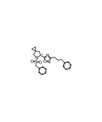 O=S(=O)(Cc1ccccc1)N1CC2(CC2)C[C@H]1c1nc(CCCc2ccccc2)no1